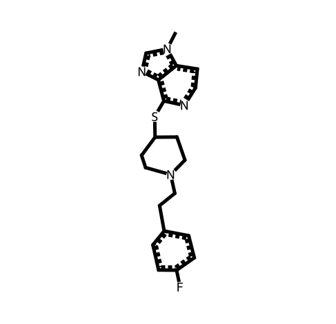 Cn1cnc2c(SC3CCN(CCc4ccc(F)cc4)CC3)nccc21